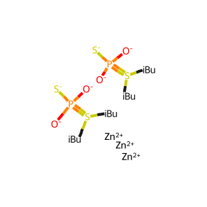 CCC(C)S(C(C)CC)=P([O-])([O-])[S-].CCC(C)S(C(C)CC)=P([O-])([O-])[S-].[Zn+2].[Zn+2].[Zn+2]